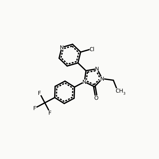 CCn1nc(-c2ccncc2Cl)n(-c2ccc(C(F)(F)F)cc2)c1=O